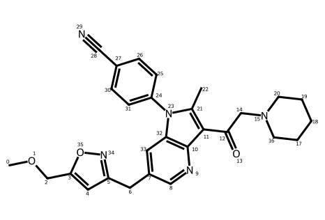 COCc1cc(Cc2cnc3c(C(=O)CN4CCCCC4)c(C)n(-c4ccc(C#N)cc4)c3c2)no1